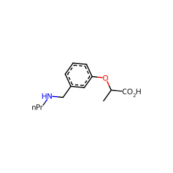 CCCNCc1cccc(OC(C)C(=O)O)c1